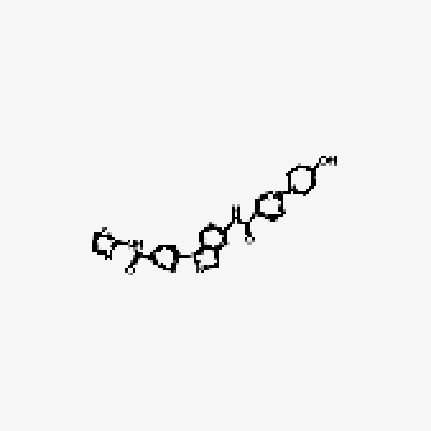 O=C(Nc1ccc2c(cnn2-c2ccc(C(=O)Nc3nccs3)cc2)c1)c1ccc(N2CCC(O)CC2)cc1